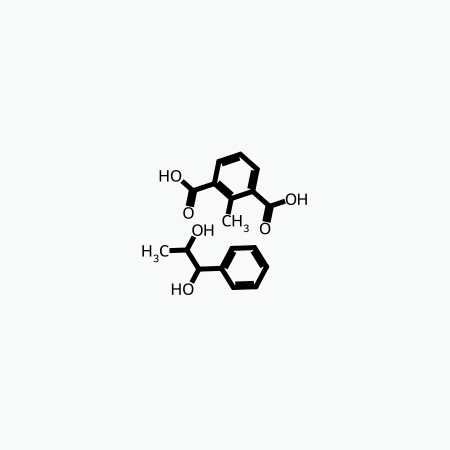 CC(O)C(O)c1ccccc1.Cc1c(C(=O)O)cccc1C(=O)O